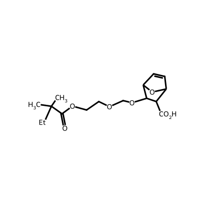 CCC(C)(C)C(=O)OCCOCOC1C2C=CC(O2)C1C(=O)O